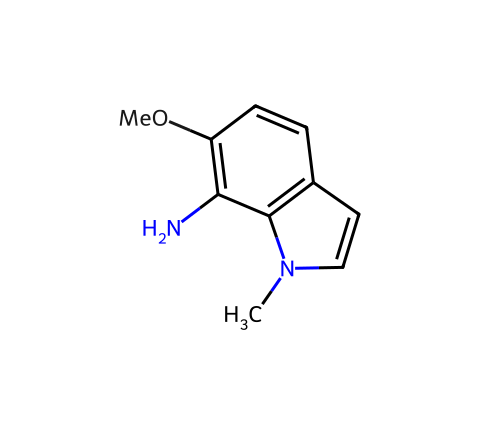 COc1ccc2ccn(C)c2c1N